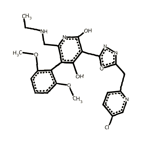 CCNCc1nc(O)c(-c2nnc(Cc3ccc(Cl)cn3)o2)c(O)c1-c1c(OC)cccc1OC